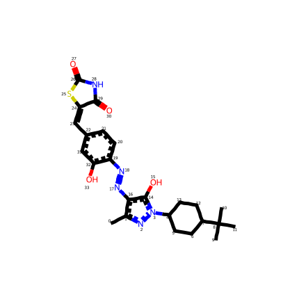 Cc1nn(C2CCC(C(C)(C)C)CC2)c(O)c1N=Nc1ccc(C=C2SC(=O)NC2=O)cc1O